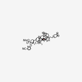 COC(=O)C1(COc2cccc(C#N)n2)CC=C(C2=CC[C@]3(C)[C@H]4CC[C@@H]5[C@H]6[C@H](C(C)(C)C)CC[C@]6(NCCN6CCS(=O)(=O)CC6)CC[C@@]5(C)[C@]4(C)CC[C@H]3C2(C)C)CC1